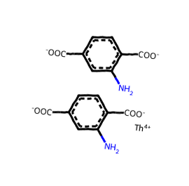 Nc1cc(C(=O)[O-])ccc1C(=O)[O-].Nc1cc(C(=O)[O-])ccc1C(=O)[O-].[Th+4]